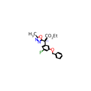 CCOC(=O)/C=C(/c1cc(F)cc(OCc2ccccc2)c1)c1nnc(C)o1